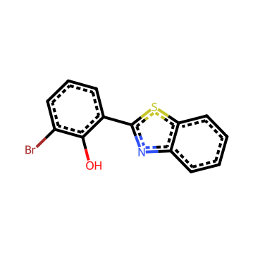 Oc1c(Br)cccc1-c1nc2ccccc2s1